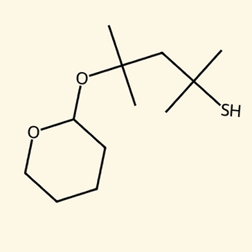 CC(C)(S)CC(C)(C)OC1CCCCO1